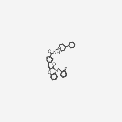 O=C(NCN1CCC(C2CCCCC2)CC1)c1ccc(C=C2Oc3ccccc3N(Cc3ccccc3F)C2=O)cc1